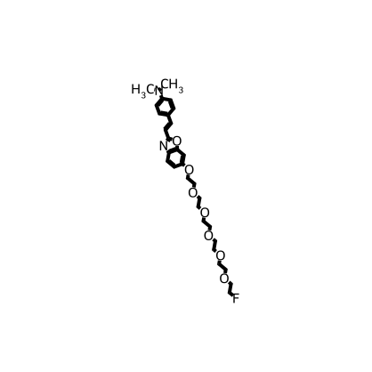 CN(C)c1ccc(C=Cc2nc3ccc(OCCOCCOCCOCCOCCOCCF)cc3o2)cc1